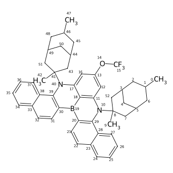 CC1CC2CC(C1)CC(C)(N1c3cc(OC(F)(F)F)cc4c3B(c3ccc5ccccc5c31)c1ccc3ccccc3c1N4C1(C)CC3CC(C)CC(C3)C1)C2